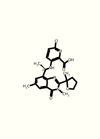 Cc1cc([C@@H](C)Nc2ccc(Cl)nc2C(=O)O)c2nc(C3(C)CCCO3)n(C)c(=O)c2c1